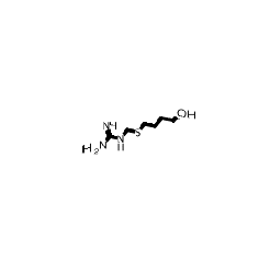 N=C(N)NCSCCCCO